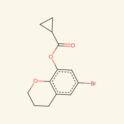 O=C(Oc1cc(Br)cc2c1OCCC2)C1CC1